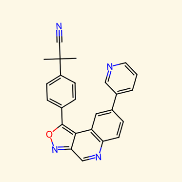 CC(C)(C#N)c1ccc(-c2onc3cnc4ccc(-c5cccnc5)cc4c23)cc1